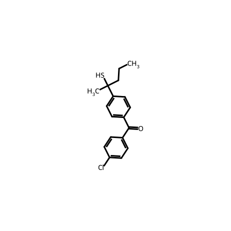 CCCC(C)(S)c1ccc(C(=O)c2ccc(Cl)cc2)cc1